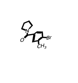 Cc1cc(C(=O)N2CCCC2)ccc1Br